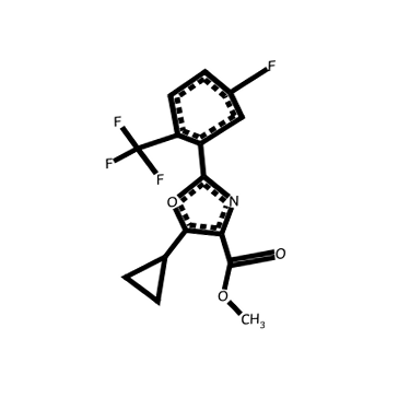 COC(=O)c1nc(-c2cc(F)ccc2C(F)(F)F)oc1C1CC1